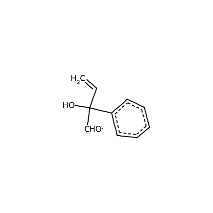 C=CC(O)([C]=O)c1ccccc1